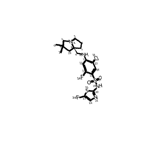 CC1(C)CN2CCC[C@]2(CNc2cc(F)c(S(=O)(=O)Nc3ncc(F)s3)cc2Cl)C1